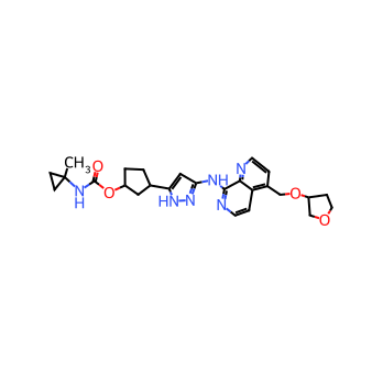 CC1(NC(=O)OC2CCC(c3cc(Nc4nccc5c(COC6CCOC6)ccnc45)n[nH]3)C2)CC1